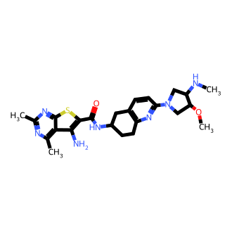 CNC1CN(c2ccc3c(n2)CCC(NC(=O)c2sc4nc(C)nc(C)c4c2N)C3)CC1OC